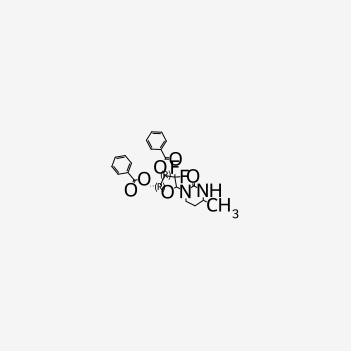 CC1CCN(C2O[C@H](COC(=O)c3ccccc3)[C@@H](OC(=O)c3ccccc3)C2(F)F)C(=O)N1